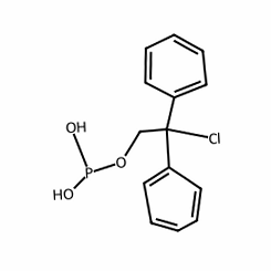 OP(O)OCC(Cl)(c1ccccc1)c1ccccc1